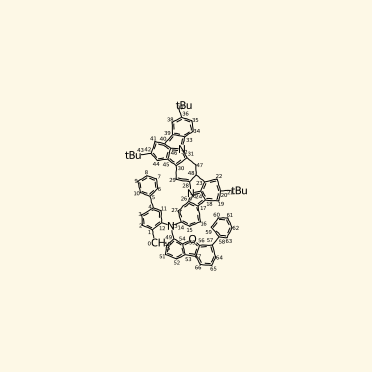 Cc1ccc(-c2ccccc2)cc1N(c1ccc2c3cc(C(C)(C)C)cc4c3n(c2c1)C1=Cc2c(n3c5ccc(C(C)(C)C)cc5c5cc(C(C)(C)C)cc2c53)CC14)c1cccc2c1oc1c(-c3ccccc3)cccc12